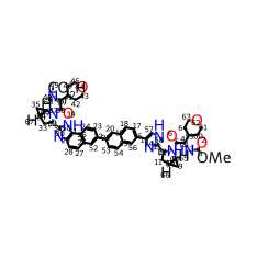 COC(=O)N[C@H](C(=O)N1[C@@H]2C[C@@H]2C[C@H]1c1nc(-c2ccc3cc(-c4ccc5c(ccc6nc([C@@H]7C[C@H]8C[C@H]8N7C(=O)[C@H](C7CCOCC7)N(C)C(=O)O)[nH]c65)c4)ccc3c2)c[nH]1)C1CCOCC1